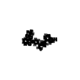 O=C(ON1c2cccnc2OC1N1CC[C@H](C(CF)n2cc(-c3ncnc4[nH]ccc34)cn2)C1)C(F)(F)F